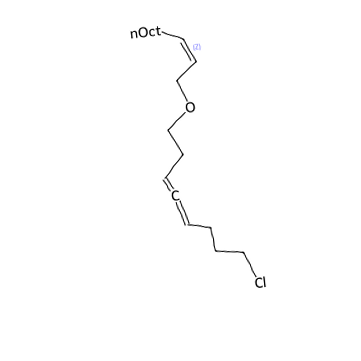 CCCCCCCC/C=C\COCCC=C=CCCCCl